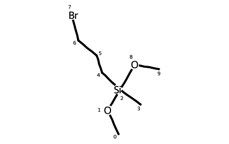 CO[Si](C)(CCCBr)OC